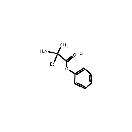 CCC(C)(N)C(=O)Oc1ccccc1.Cl